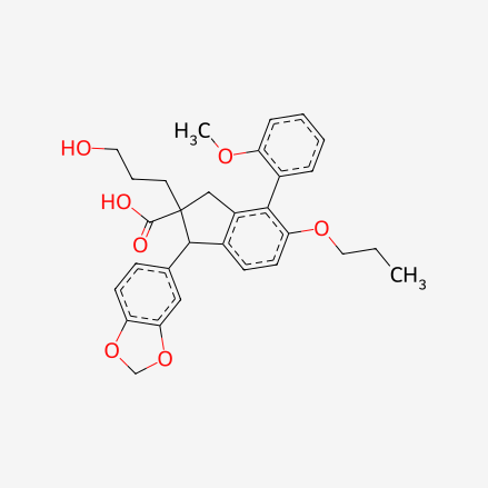 CCCOc1ccc2c(c1-c1ccccc1OC)CC(CCCO)(C(=O)O)C2c1ccc2c(c1)OCO2